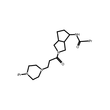 CC(C)C(=O)NC1CCC2CN(C(=O)CCN3CCN(C(C)C)CC3)CC21